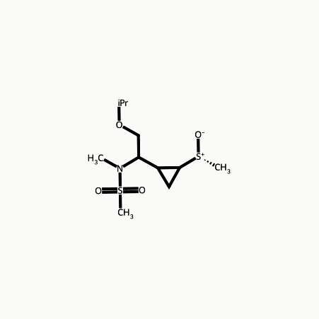 CC(C)OCC(C1CC1[S@@+](C)[O-])N(C)S(C)(=O)=O